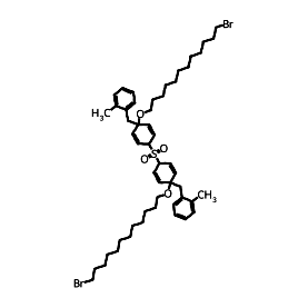 Cc1ccccc1CC1(OCCCCCCCCCCCCBr)C=CC(S(=O)(=O)C2C=CC(Cc3ccccc3C)(OCCCCCCCCCCCCBr)C=C2)C=C1